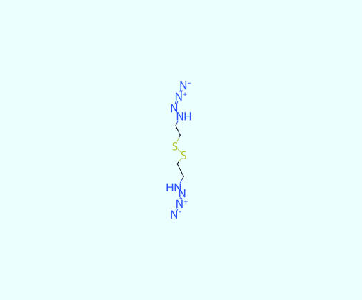 [N-]=[N+]=NNCCSSCCNN=[N+]=[N-]